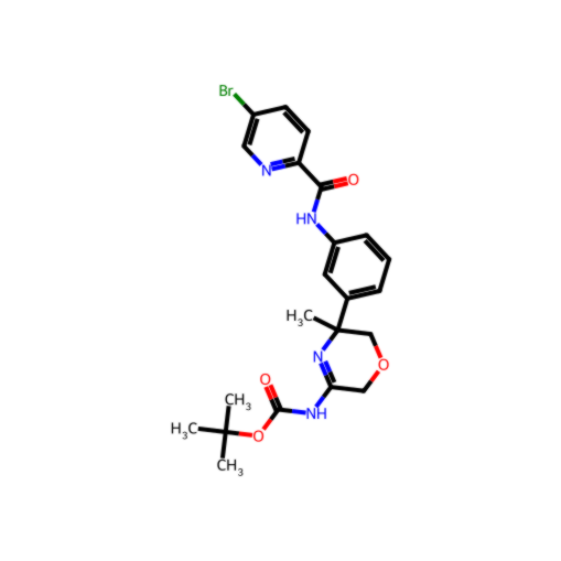 CC(C)(C)OC(=O)NC1=NC(C)(c2cccc(NC(=O)c3ccc(Br)cn3)c2)COC1